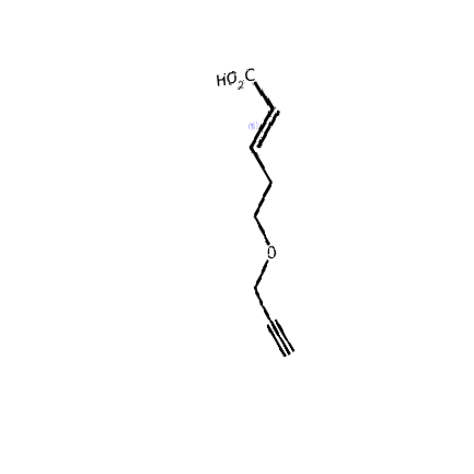 C#CCOCC/C=C/C(=O)O